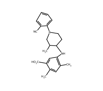 Cc1cc(C)c(C(=O)O)cc1NC1CCN(c2ccccc2C#N)CC1C